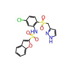 O=S(=O)(Cc1cc[nH]n1)c1ccc(Cl)cc1NS(=O)(=O)c1cc2ccccc2o1